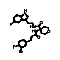 O=C(C=Cc1ccc(F)c(Br)c1)NC1(C(=O)NCCc2c[nH]c3ccc(F)cc23)CCOCC1